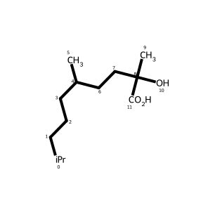 CC(C)CCCC(C)CCC(C)(O)C(=O)O